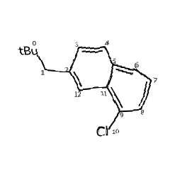 CC(C)(C)Cc1ccc2cccc(Cl)c2c1